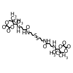 CC1(C)COC(=O)C(=O)OC1C(=O)NCCC(=O)NCCSSCCNC(=O)CCNC(=O)C1OC(=O)C(=O)OCC1(C)C